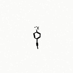 CC#Cc1ccc(S(F)(F)(F)(F)F)cc1